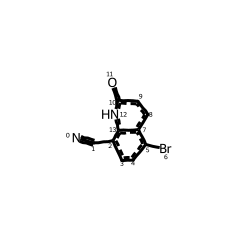 N#Cc1ccc(Br)c2ccc(=O)[nH]c12